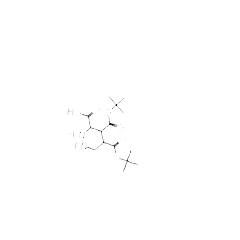 CC(C)(C)OC(=O)C(CN)C(C(=O)OC(C)(C)C)C(N)C(=O)O